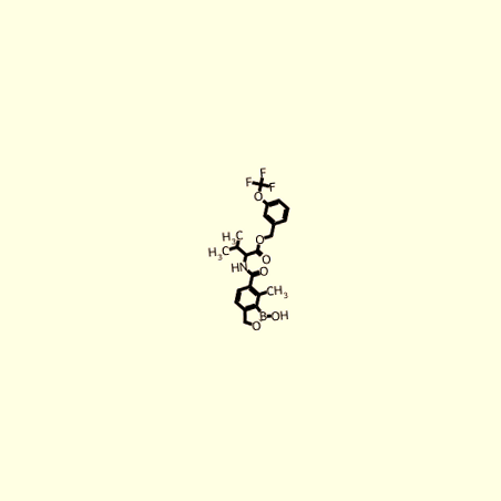 Cc1c(C(=O)NC(C(=O)OCc2cccc(OC(F)(F)F)c2)C(C)C)ccc2c1B(O)OC2